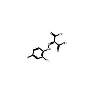 Cc1cc(I)ccc1NN=C(C(=O)O)C(=O)O